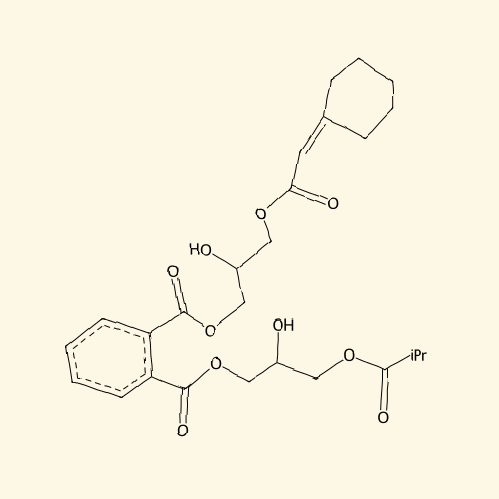 CC(C)C(=O)OCC(O)COC(=O)c1ccccc1C(=O)OCC(O)COC(=O)C=C1CCCCC1